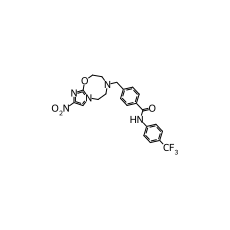 O=C(Nc1ccc(C(F)(F)F)cc1)c1ccc(CN2CCOc3nc([N+](=O)[O-])cn3CC2)cc1